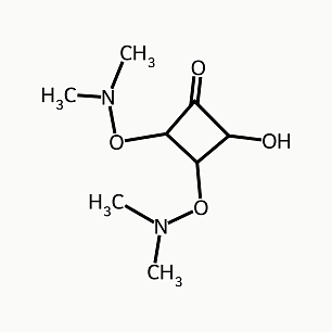 CN(C)OC1C(=O)C(O)C1ON(C)C